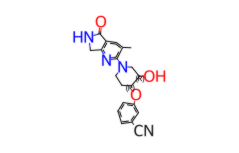 Cc1cc2c(nc1N1CC[C@@H](Oc3cccc(C#N)c3)[C@H](O)C1)CNC2=O